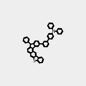 c1ccc(C2c3ccc(-c4cccc(-c5ccc(N(c6ccccc6)c6ccccc6)cc5)c4)cc3-c3c2ccc2cc4sc5ccccc5c4cc32)cc1